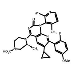 COc1ccc(F)c(-c2nc3c(cc2C2CC2)c(N2CCN(C(=O)O)C[C@@H]2C)nc(=O)n3-c2c(C)ccnc2C(C)C)c1